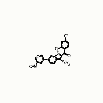 Nc1c(C(=O)c2ccc(Cl)cc2Cl)sc2cc(-c3cccc(N=O)c3)ccc12